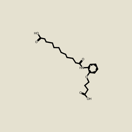 O=C(O)CCCCCCCCCCC(=O)Nc1ccccc1OCCCC(=O)O